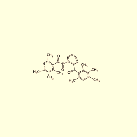 Cc1cc(C)c(C(=O)c2ccccc2[P](=O)C(=O)c2c(C)cc(C)c(C)c2C)c(C)c1C